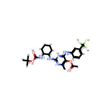 CC(=O)Oc1c(C)nc(NC2CCCCC2NC(=O)OC(C)(C)C)nc1Nc1cccc(C(F)(F)F)c1